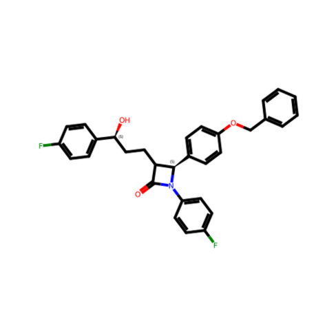 O=C1C(CC[C@H](O)c2ccc(F)cc2)[C@@H](c2ccc(OCc3ccccc3)cc2)N1c1ccc(F)cc1